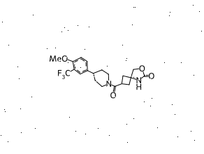 COc1ccc(C2CCN(C(=O)C3CC4(COC(=O)N4)C3)CC2)cc1C(F)(F)F